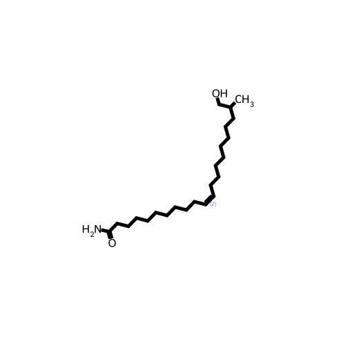 CC(CO)CCCCCCCC/C=C\CCCCCCCCCC(N)=O